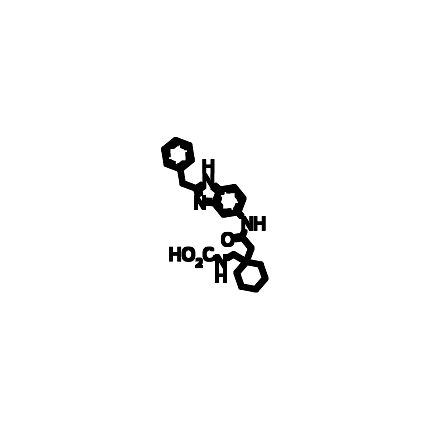 O=C(O)NCC1(CC(=O)Nc2ccc3[nH]c(Cc4ccccc4)nc3c2)CCCCC1